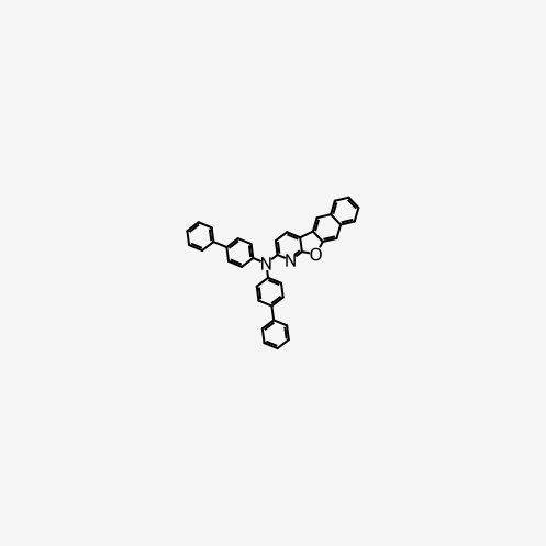 c1ccc(-c2ccc(N(c3ccc(-c4ccccc4)cc3)c3ccc4c(n3)oc3cc5ccccc5cc34)cc2)cc1